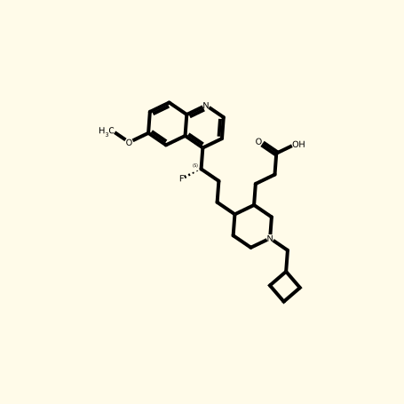 COc1ccc2nccc([C@@H](F)CCC3CCN(CC4CCC4)CC3CCC(=O)O)c2c1